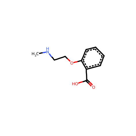 CNCCOc1ccccc1C(=O)O